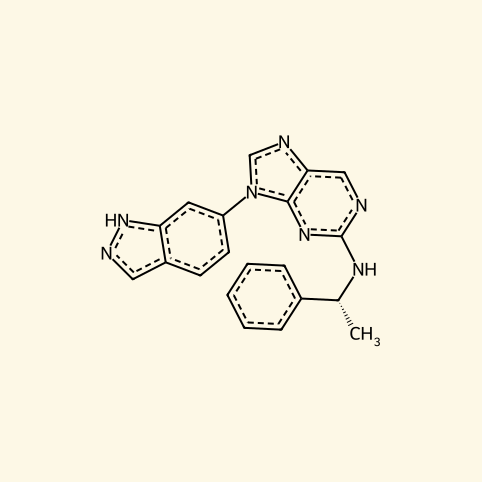 C[C@@H](Nc1ncc2ncn(-c3ccc4cn[nH]c4c3)c2n1)c1ccccc1